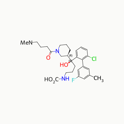 CNCCCC(=O)N1CCC[C@@H]([C@@](O)(CCCNC(=O)O)c2cccc(Cl)c2-c2cc(C)cc(F)c2)C1